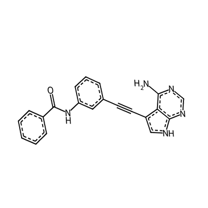 Nc1ncnc2[nH]cc(C#Cc3cccc(NC(=O)c4ccccc4)c3)c12